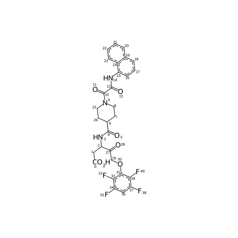 O=C(O)CC(NC(=O)C1CCN(C(=O)C(=O)Nc2cccc3ccccc23)CC1)C(=O)COc1c(F)c(F)cc(F)c1F